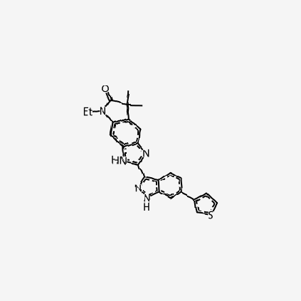 CCN1C(=O)C(C)(C)c2cc3nc(-c4n[nH]c5cc(-c6ccsc6)ccc45)[nH]c3cc21